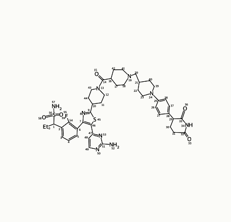 CCC(c1cccc(-c2nc(C3CCN(C(=O)C4CCN(CC5CCN(c6ccc(C7CCC(=O)NC7=O)cc6)CC5)CC4)CC3)sc2-c2ccnc(N)n2)c1F)S(N)(=O)=O